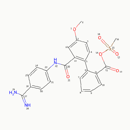 COc1ccc(-c2ccccc2C(=O)OS(C)(=O)=O)c(C(=O)Nc2ccc(C(=N)N)cc2)c1